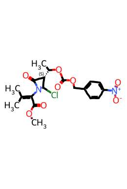 COC(=O)C(=C(C)C)N1C(=O)[C@H](C(C)OC(=O)OCc2ccc([N+](=O)[O-])cc2)C1Cl